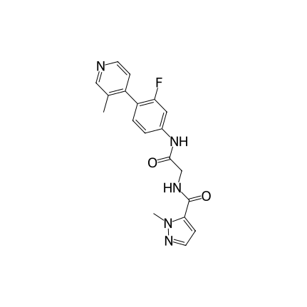 Cc1cnccc1-c1ccc(NC(=O)CNC(=O)c2ccnn2C)cc1F